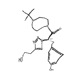 CC(C)(C)N1CCN(C(=O)[C@H](Cc2ccc(O)cc2)n2cc(CCO)nn2)CC1